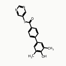 Cc1cc(-c2ccc(C(=O)Sc3cncnc3)cc2)cc(C)c1O